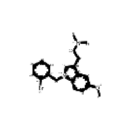 COc1ccc2c(c1)c(CCN(C)C)cn2Cc1ccccc1Br